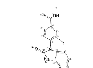 CNC(=O)c1cc(C)c(-n2c(=O)[nH]c3ccccc32)cn1